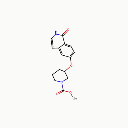 CC(C)(C)OC(=O)N1CCCC(Oc2ccc3c(=O)[nH]ccc3c2)C1